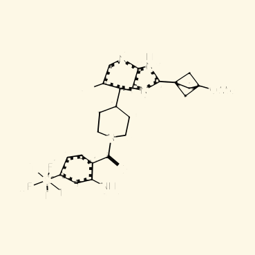 COC12CC(c3nc4c(C5CCN(C(=O)c6ccc(S(F)(F)(F)(F)F)cc6N)CC5)c(F)cnc4[nH]3)(C1)C2